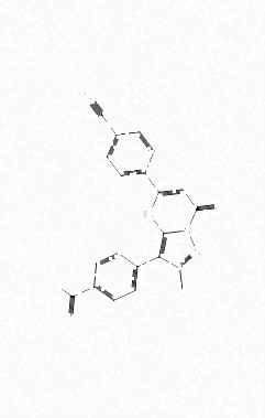 Cc1nn2c(=O)cc(-c3ccc(C#N)cc3)[nH]c2c1-c1ccc(C(=O)O)cc1